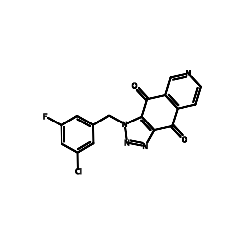 O=C1c2ccncc2C(=O)c2c1nnn2Cc1cc(F)cc(Cl)c1